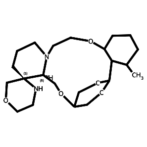 CC1CCCC2OCCN3CCC[C@@]4(COCCN4)[C@@H]3COC3CCC(CC3)C12